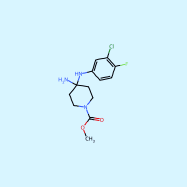 COC(=O)N1CCC(N)(Nc2ccc(F)c(Cl)c2)CC1